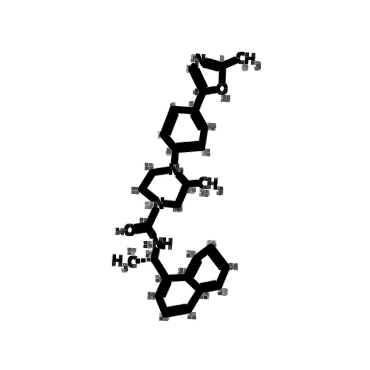 Cc1ncc(-c2ccc(N3CCN(C(=O)N[C@@H](C)c4cccc5ccccc45)CC3C)cc2)o1